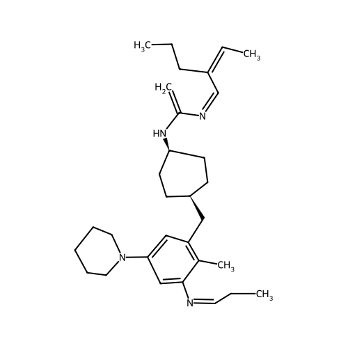 C=C(/N=C\C(=C/C)CCC)N[C@H]1CC[C@@H](Cc2cc(N3CCCCC3)cc(/N=C\CC)c2C)CC1